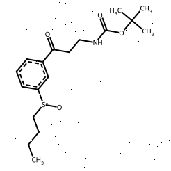 CCCC[S+]([O-])c1cccc(C(=O)CCNC(=O)OC(C)(C)C)c1